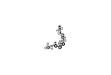 COc1cc(-c2nccc(-c3cccc(NC(=O)c4nc5c(n4C)CCN(C(=O)CNC(=O)OC(C)(C)C)C5)c3Cl)c2Cl)ccc1CNC[C@@H]1CCC(=O)N1